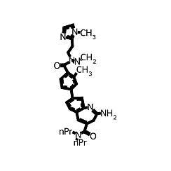 C=NN(CCc1nccn1C)C(=O)c1ccc(-c2ccc3c(c2)N=C(N)CC(C(=O)N(CCC)CCC)=C3)cc1C